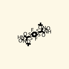 CC(C)(C)OC1=NC(=O)NC(=O)C1=C1Sc2c(F)c3c(c(F)c2S1)SC(=C1C(=O)NC(=O)N=C1OC(C)(C)C)S3